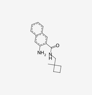 CC1(CNC(=O)c2cc3ccccc3cc2N)CCC1